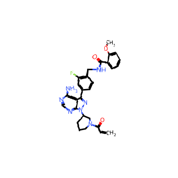 C=CC(=O)N1CCCC(n2nc(-c3ccc(CNC(=O)c4ccccc4OC)c(F)c3)c3c(N)ncnc32)C1